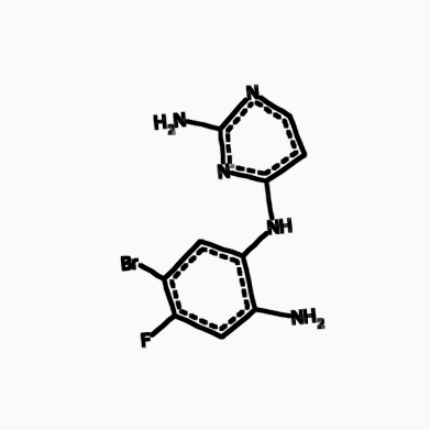 Nc1nccc(Nc2cc(Br)c(F)cc2N)n1